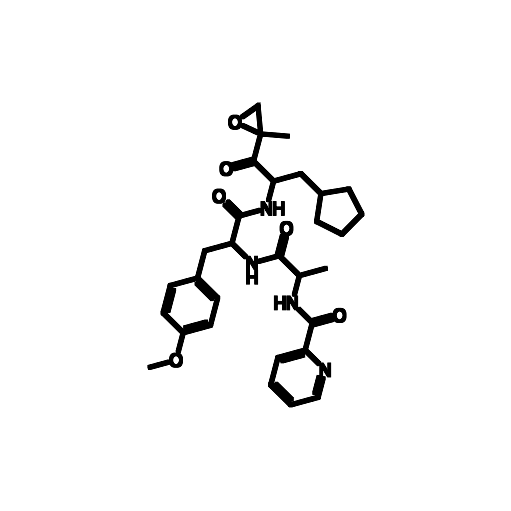 COc1ccc(CC(NC(=O)C(C)NC(=O)c2ccccn2)C(=O)NC(CC2CCCC2)C(=O)C2(C)CO2)cc1